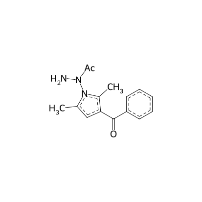 CC(=O)N(N)n1c(C)cc(C(=O)c2ccccc2)c1C